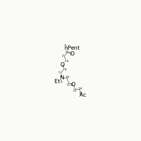 CCCCCC(=O)CCOCCN(CC)CCOCCC(C)=O